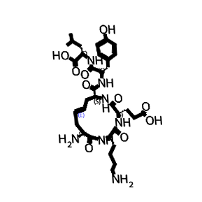 CC(C)C[C@H](NC(=O)[C@H](Cc1ccc(O)cc1)NC(=O)[C@@H]1C/C=C/C[C@H](N)C(=O)N[C@@H](CCCCN)C(=O)N[C@@H](CCC(=O)O)C(=O)N1)C(=O)O